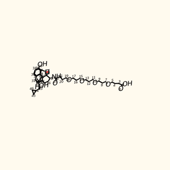 O=C(O)CCCOCCCOCCCOCCCOCCCC(=O)N[C@@H]1CC[C@@]2(O)[C@H]3Cc4ccc(O)c5c4[C@@]2(CCN3CC2CC2)[C@H]1O5